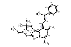 C=c1nc(N)c2nc(COCC)n(CC(C)(C)O)c2/c1=C/C=C(\C)c1cccnc1